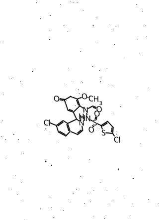 COC1=C(N(C=O)NS(=O)(=O)c2ccc(Cl)s2)C(C2NC=Cc3ccc(Cl)cc32)=CC(=O)C1